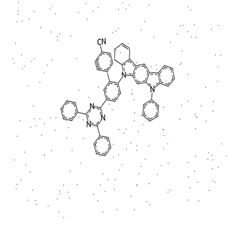 N#Cc1c#cc(-c2cc(-c3nc(-c4ccccc4)nc(-c4ccccc4)n3)ccc2-n2c3c(c4cc5c6ccccc6n(-c6ccccc6)c5cc42)C=CCC3)cc1